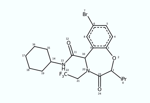 CC(C)C1Oc2ccc(Br)cc2C(C(=O)NC2CCCCC2)N(CC(F)(F)F)C1=O